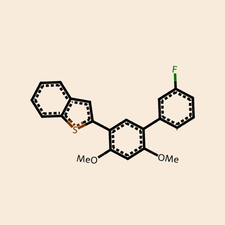 COc1cc(OC)c(-c2cc3ccccc3s2)cc1-c1[c]ccc(F)c1